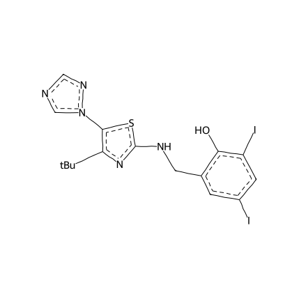 CC(C)(C)c1nc(NCc2cc(I)cc(I)c2O)sc1-n1cncn1